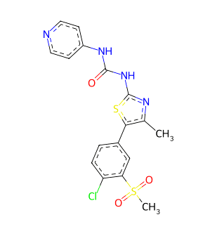 Cc1nc(NC(=O)Nc2ccncc2)sc1-c1ccc(Cl)c(S(C)(=O)=O)c1